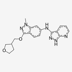 Cn1nc(OCC2CCOC2)c2ccc(Nc3n[nH]c4ncccc34)cc21